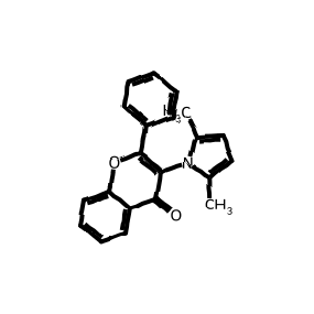 Cc1ccc(C)n1-c1c(-c2ccccc2)oc2ccccc2c1=O